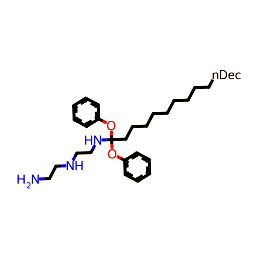 CCCCCCCCCCCCCCCCCCCC(NCCNCCN)(Oc1ccccc1)Oc1ccccc1